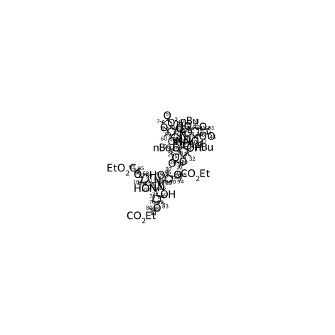 CCCCC(COC(=O)C(C)Oc1ccc(-c2nc(-c3ccc(OC(C)C(=O)OCC(CCCC)OCC)c(C)c3O)nc(-c3ccc(OC(C)C(=O)OCC(CCCC)OCC)c(C)c3O)n2)c(O)c1C)OCC.CCOC(=O)C(C)Oc1ccc(-c2nc(-c3ccc(OC(C)C(=O)OCC)c(C)c3O)nc(-c3ccc(OC(C)C(=O)OCC)c(C)c3O)n2)c(O)c1C